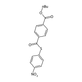 CCCCOC(=O)c1ccc(C(=O)Sc2ccc([N+](=O)[O-])cc2)cc1